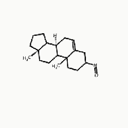 CC12CCC(N=O)CC1=CC[C@H]1C2CC[C@]2(C)CCCC12